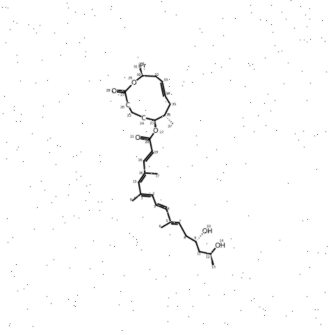 CC(=CC=C/C(C)=C/C[C@H](O)C[C@H](C)O)/C=C(C)/C=C/C(=O)O[C@H]1CCCC(=O)O[C@@H](C(C)C)C/C=C/C[C@@H]1C